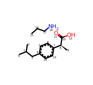 CC(C)Cc1ccc([C@H](C)C(=O)O)cc1.CCCN